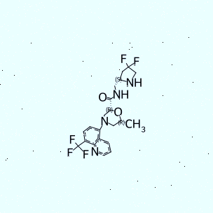 C[C@@H]1CN(c2ccc(C(F)(F)F)c3ncccc23)C[C@H](C(=O)NC[C@@H]2CC(F)(F)CN2)O1